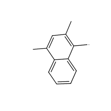 [CH2]c1c(C)cc(C)c2ccccc12